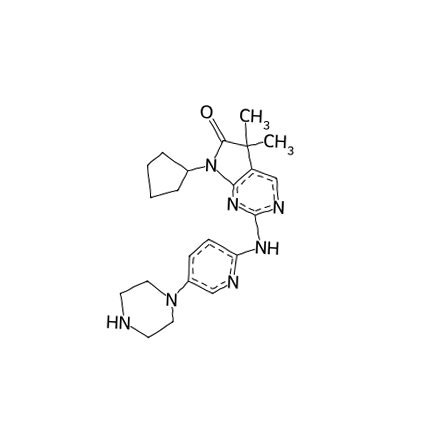 CC1(C)C(=O)N(C2CCCC2)c2nc(Nc3ccc(N4CCNCC4)cn3)ncc21